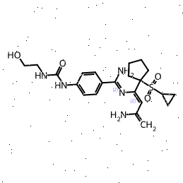 C=C(N)/C=C(\N=C(/N)c1ccc(NC(=O)NCCO)cc1)C1(S(=O)(=O)C2CC2)CCCC1